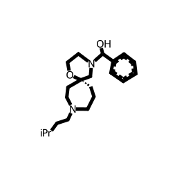 CC(C)CCN1CCC[C@@]2(CC1)CN(C(O)c1ccccc1)CCO2